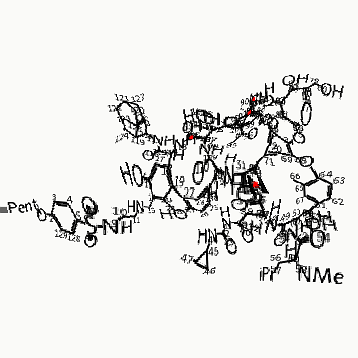 CCCCCOc1ccc(S(=O)(=O)NCCNCc2c(O)cc3c(c2C)-c2cc(ccc2O)[C@H]2NC(=O)[C@@H]4NC(=O)[C@H](CC(=O)NC(=O)NC5CC5)NC(=O)[C@H](NC(=O)[C@@H](CC(C)C)NC)[C@H](O)c5ccc(c(C)c5)Oc5cc4cc(c5O[C@@H]4O[C@H](CO)[C@@H](O)[C@H](O)[C@H]4O[C@H]4C[C@](C)(N)[C@H](O)[C@H](C)O4)Oc4ccc(cc4Cl)[C@@H](O)[C@H](NC2=O)C(=O)N[C@@H]3C(=O)NC2C3CC4CC(C3)CC2C4)cc1